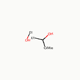 CCC(O)OC.CCO